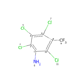 Nc1c(Cl)c(Cl)c(Cl)c(C(F)(F)F)c1Cl